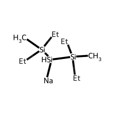 CC[Si](C)(CC)[SiH]([Na])[Si](C)(CC)CC